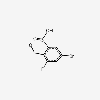 O=S(O)c1cc(Br)cc(F)c1CO